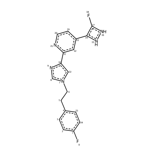 Fc1ccc(CCn2cnc(-c3cc(-c4[nH][nH]c4F)ccn3)c2)cc1